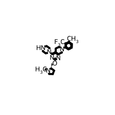 Cc1cccc(N2CCc3c(nc(OC[C@@H]4CCCN4C)nc3N3CCNCC3)C2)c1C(F)(F)F